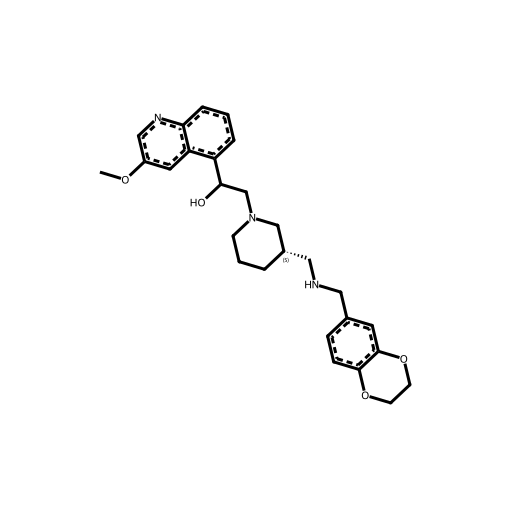 COc1cnc2cccc(C(O)CN3CCC[C@@H](CNCc4ccc5c(c4)OCCO5)C3)c2c1